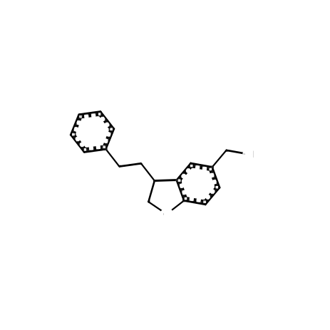 OCc1ccc2c(c1)C(CCc1ccccc1)CO2